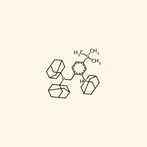 C[Si](C)(C)c1ccc(CP(C23CC4CC(CC(C4)C2)C3)C23CC4CC(CC(C4)C2)C3)c([PH]23CC4CC(CC(C4)C2)C3)c1